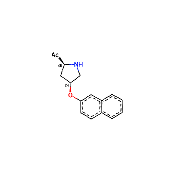 CC(=O)[C@@H]1C[C@H](Oc2ccc3ccccc3c2)CN1